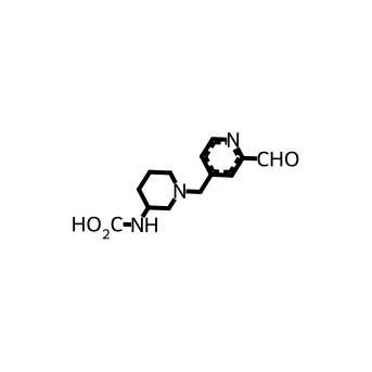 O=Cc1cc(CN2CCCC(NC(=O)O)C2)ccn1